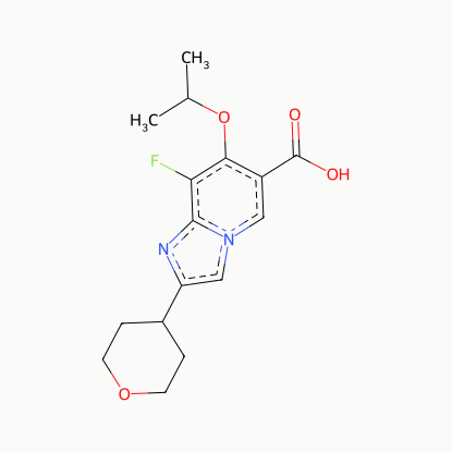 CC(C)Oc1c(C(=O)O)cn2cc(C3CCOCC3)nc2c1F